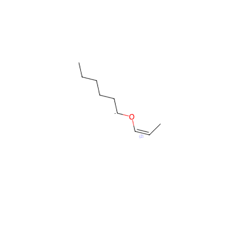 C/C=C\O[CH]CCCCC